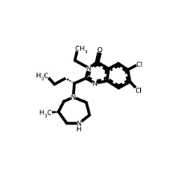 CCC[C@H](c1nc2cc(Cl)c(Cl)cc2c(=O)n1CC)N1CCNC[C@@H](C)C1